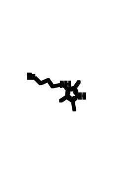 Cc1[nH]c(C)c(NCCCBr)c1C